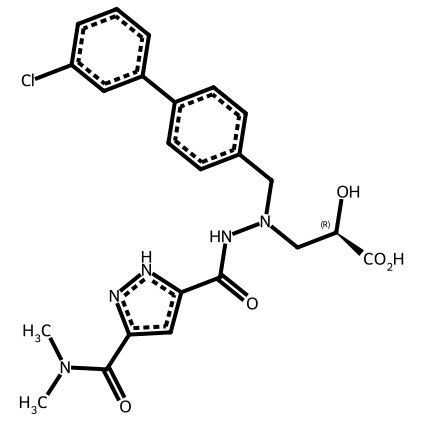 CN(C)C(=O)c1cc(C(=O)NN(Cc2ccc(-c3cccc(Cl)c3)cc2)C[C@@H](O)C(=O)O)[nH]n1